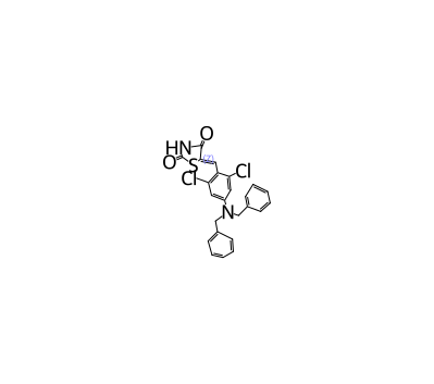 O=C1NC(=O)/C(=C/c2c(Cl)cc(N(Cc3ccccc3)Cc3ccccc3)cc2Cl)S1